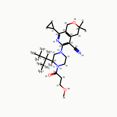 [2H]C([2H])([2H])C([2H])(C([2H])([2H])[2H])C1([2H])CN(c2nc(C3CC3)c3c(c2C#N)CC(C)(C)OC3)CCN1C(=O)CCOC